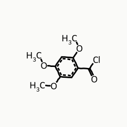 COc1cc(OC)c(C(=O)Cl)cc1OC